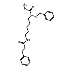 CC(C)(C)OC(=O)N(CCCCCNC(=O)OCc1ccccc1)OCc1ccccc1